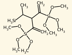 C=C(C(C(=C)[Si](OC)(OC)OC)C(C)[SiH3])[Si](OC)(OC)OC